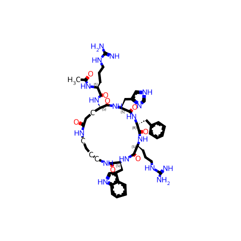 CC(=O)N[C@@H](CCCNC(=N)N)C(=O)N[C@H]1CCC(=O)NCCCCNC(=O)[C@H](Cc2c[nH]c3ccccc23)NC(=O)[C@H](CCCNC(=N)N)NC(=O)[C@@H](Cc2ccccc2)NC(=O)[C@H](Cc2c[nH]cn2)NC1=O